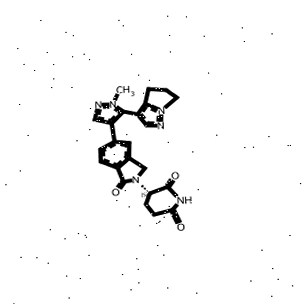 Cn1ncc(-c2ccc3c(c2)CN([C@H]2CCC(=O)NC2=O)C3=O)c1-c1cnn2c1CCC2